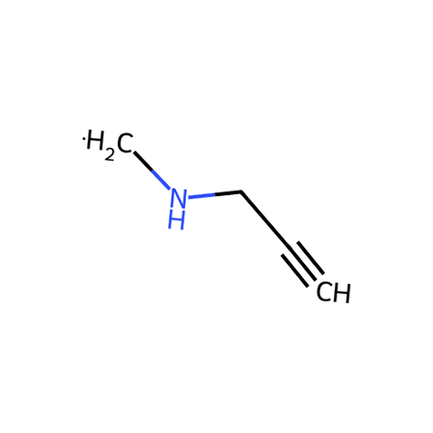 C#CCN[CH2]